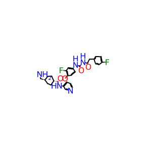 NC[C@H]1CC[C@H](C(=O)Nc2cnccc2Oc2ccc(NC(=O)NC(=O)Cc3ccc(F)cc3)cc2F)CC1